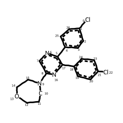 Clc1ccc(-c2ncc(N3CCCOCC3)nc2-c2ccc(Cl)cc2)cc1